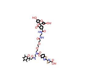 C=C1C(C)=C(C)C(=O)C(C(C)(C)CC(=O)N(C)CCN(CCOCCOCCC(=O)NCCNC(=O)c2ccc3c(c2)C(=O)OC32c3ccc(O)cc3Oc3cc(O)ccc32)C(=O)Oc2ccc3sc(C4=NC(C(=O)O)CS4)nc3c2)=C1C